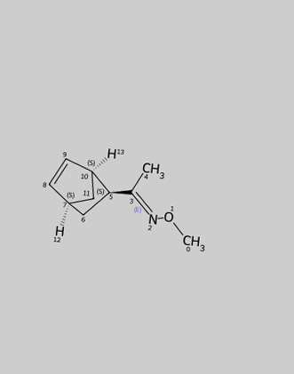 CO/N=C(\C)[C@H]1C[C@H]2C=C[C@@H]1C2